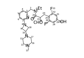 CCN(Cc1cccc(N2CC(N3CCN(C)CC3)C2)n1)C(=O)C(C=O)Cc1c(F)cc(O)cc1F